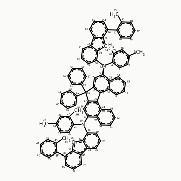 Cc1ccc(N(c2cc3c(c4ccccc24)-c2c(cc(N(c4ccc(C)cc4C)c4cccc5c4oc4c(-c6ccccc6C)cccc45)c4ccccc24)C3(c2ccccc2)c2ccccc2)c2cccc3c2oc2c(-c4ccccc4C)cccc23)c(C)c1